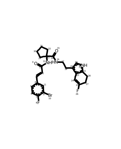 O=C(/C=C/c1ccc(F)c(Br)c1)NC1(C(=O)NCCc2c[nH]c3c2C=C(F)CC3)CCCC1